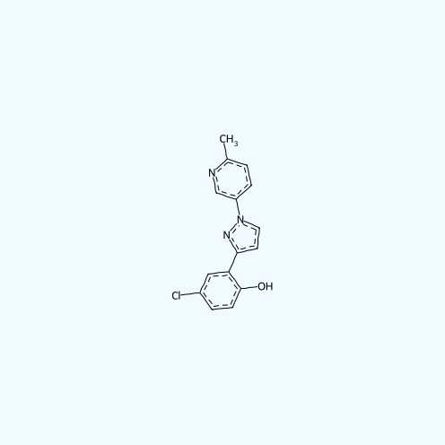 Cc1ccc(-n2ccc(-c3cc(Cl)ccc3O)n2)cn1